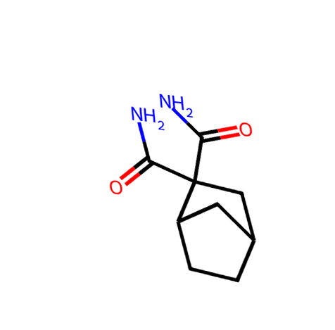 NC(=O)C1(C(N)=O)CC2CCC1C2